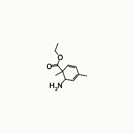 CCOC(=O)C1(C)C=CC(C)=CC1N